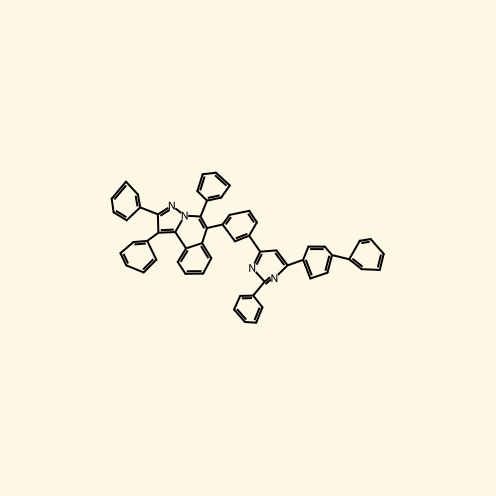 c1ccc(-c2ccc(-c3cc(-c4cccc(-c5c(-c6ccccc6)n6nc(-c7ccccc7)c(-c7ccccc7)c6c6ccccc56)c4)nc(-c4ccccc4)n3)cc2)cc1